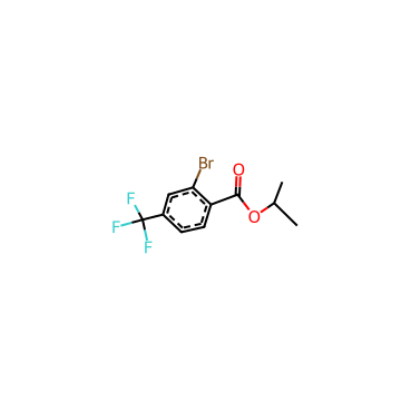 CC(C)OC(=O)c1ccc(C(F)(F)F)cc1Br